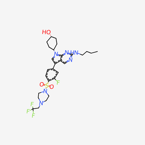 CCCCNc1ncc2c(-c3ccc(S(=O)(=O)N4CCN(CC(F)(F)F)CC4)c(F)c3)cn([C@H]3CC[C@@H](O)CC3)c2n1